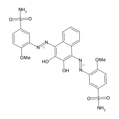 COc1ccc(S(N)(=O)=O)cc1/N=N/c1c(O)c(O)c(/N=N/c2cc(S(N)(=O)=O)ccc2OC)c2ccccc12